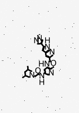 Cc1ncc(NC(=O)CN2CC(C)CC(C)C2)cc1NC(=O)c1cnc2[nH]c(-c3cnn(C)c3)cc2c1